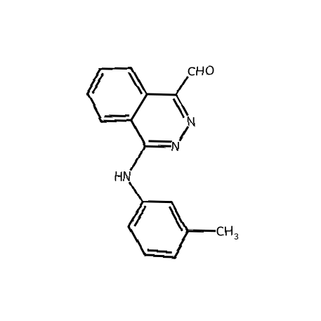 Cc1cccc(Nc2nnc(C=O)c3ccccc23)c1